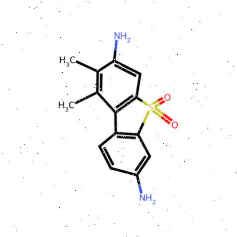 Cc1c(N)cc2c(c1C)-c1ccc(N)cc1S2(=O)=O